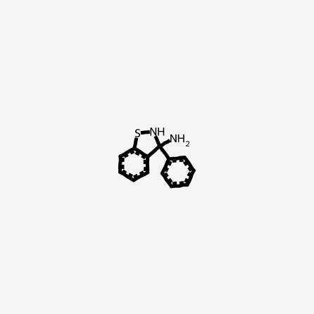 NC1(c2ccccc2)NSc2ccccc21